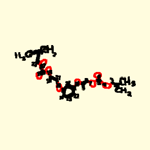 C=C(C)COC(=O)OCCOc1cccc(OCCOC(=O)OCC(=C)C)c1